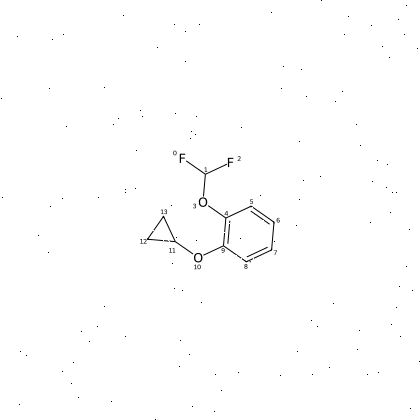 FC(F)Oc1ccc[c]c1OC1CC1